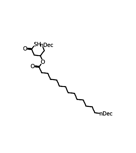 CCCCCCCCCCCCCCCCCCCCCCCC(=O)OC(CCCCCCCCCCC)CC(=O)S